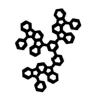 C1=CC2c3ccc4c(c5c(n4-c4cccc(-c6cc(-n7c8ccccc8c8c9c(ccc87)c7c(n9-c8ccccc8)C=CCC7)cc(-n7c8ccccc8c8c7ccc7c9ccccc9n(-c9ccccc9)c78)c6)n4)CCC=C5)c3N(c3ccccc3)C2C=C1